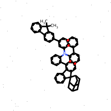 CC1(C)c2ccccc2-c2ccc(-c3cccc(N(c4ccccc4-c4ccccc4)c4ccccc4-c4cccc5c4-c4ccccc4C54C5CC6CC(C5)CC4C6)c3)cc21